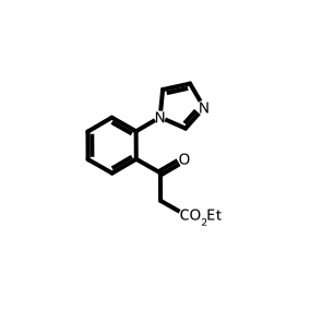 CCOC(=O)CC(=O)c1ccccc1-n1ccnc1